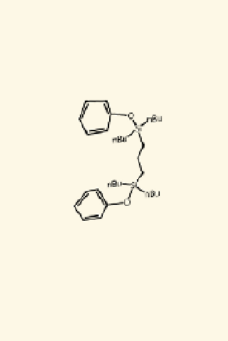 CCCC[Si](CCCC)(CCC[Si](CCCC)(CCCC)Oc1ccccc1)Oc1ccccc1